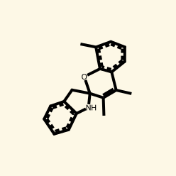 CC1=C(C)C2(Cc3ccccc3N2)Oc2c(C)cccc21